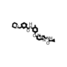 Cc1ccc(Oc2ccc3nc(NC(=O)C4CC4)cn3n2)cc1NC(=O)c1cccc(CN2CCCCC2)c1